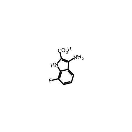 Nc1c(C(=O)O)[nH]c2c(F)cccc12